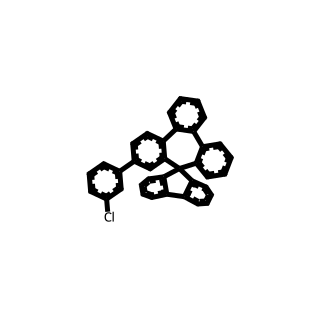 Clc1cccc(-c2ccc3c(c2)C2(c4ccccc4-c4ccccc4-3)c3ccccc3-c3ccccc32)c1